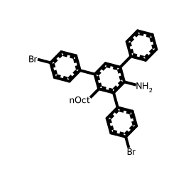 CCCCCCCCc1c(-c2ccc(Br)cc2)cc(-c2ccccc2)c(N)c1-c1ccc(Br)cc1